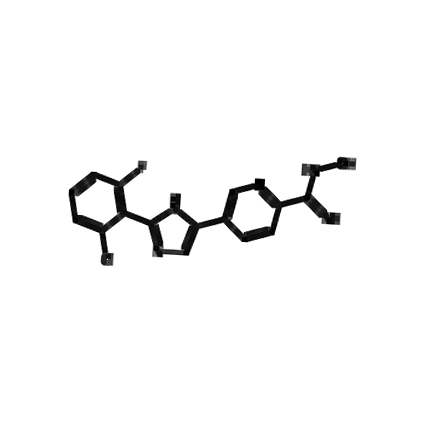 N=C(NO)c1ccc(-c2cnc(-c3c(F)cccc3Cl)[nH]2)cn1